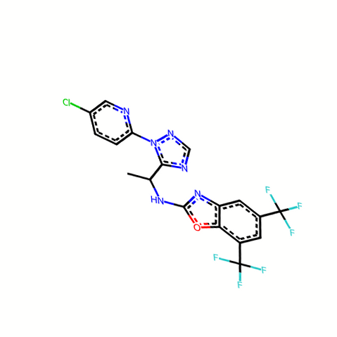 CC(Nc1nc2cc(C(F)(F)F)cc(C(F)(F)F)c2o1)c1ncnn1-c1ccc(Cl)cn1